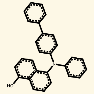 Oc1cccc2c(N(c3ccccc3)c3ccc(-c4ccccc4)cc3)cccc12